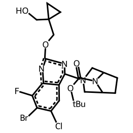 CC(C)(C)OC(=O)N1C2CCC1CN(c1nc(OCC3(CO)CC3)nc3c(F)c(Br)c(Cl)cc13)C2